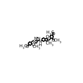 COc1ccc(CN2CCc3c(Nc4ccc5c(c4)C(C)N(Cc4ccc(OC)cc4OC)C5=O)ncnc32)c(OC)c1